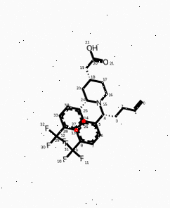 C=CCC[C@H](c1ccc(C(F)(F)F)cc1)N1CC[C@@H](CC(=O)O)C[C@H]1c1ccc(C(F)(F)F)cc1